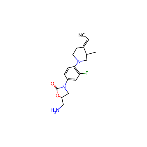 CC1CN(c2ccc(N3CC(CN)OC3=O)cc2F)CCC1=CC#N